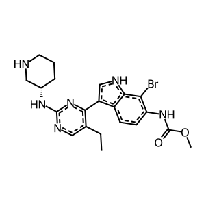 CCc1cnc(N[C@H]2CCCNC2)nc1-c1c[nH]c2c(Br)c(NC(=O)OC)ccc12